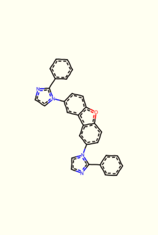 c1ccc(-c2nccn2-c2ccc3oc4ccc(-n5ccnc5-c5ccccc5)cc4c3c2)cc1